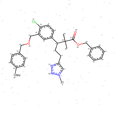 CCn1cc(CCC(c2ccc(Cl)c(COCc3ccc(OC)cc3)c2)C(C)(C)C(=O)OCc2ccccc2)nn1